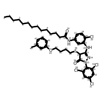 CCCCCCCCCCCCCC(=O)Nc1ccc(Cl)c(NC2=NN(c3c(Cl)cc(Cl)cc3Cl)C(=O)C2SCCCCOc2cccc(C)c2)c1